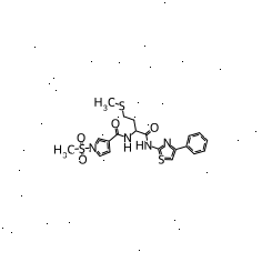 CSCCC(NC(=O)c1ccn(S(C)(=O)=O)c1)C(=O)Nc1nc(-c2ccccc2)cs1